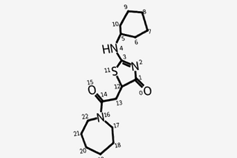 O=C1N=C(NC2CCCCC2)SC1CC(=O)N1CCCCCC1